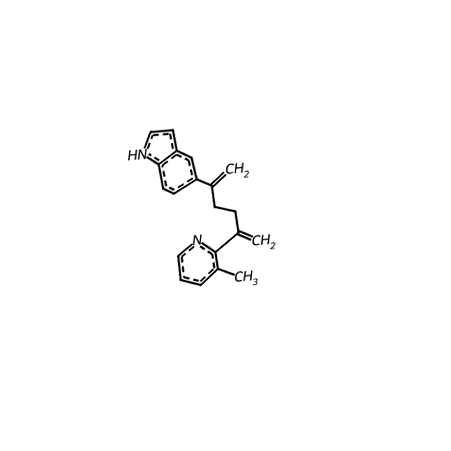 C=C(CCC(=C)c1ncccc1C)c1ccc2[nH]ccc2c1